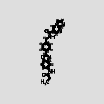 CCC(=O)Nc1ccc2oc(-c3ccc(CNC(=O)c4cnc5nccn5c4)cc3)nc2c1